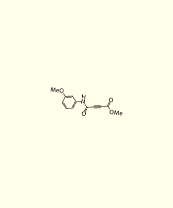 COC(=O)C#CC(=O)Nc1cccc(OC)c1